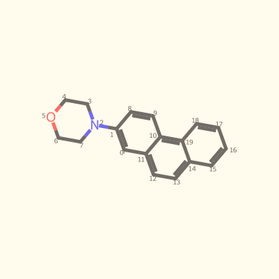 [c]1c(N2CCOCC2)ccc2c1ccc1ccccc12